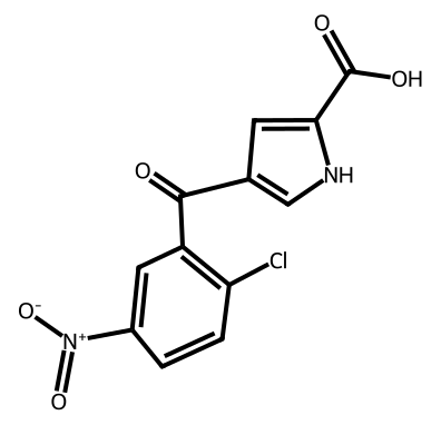 O=C(O)c1cc(C(=O)c2cc([N+](=O)[O-])ccc2Cl)c[nH]1